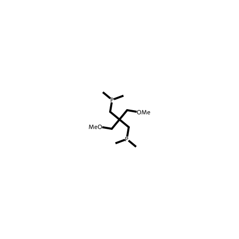 COCC(COC)(CP(C)C)CP(C)C